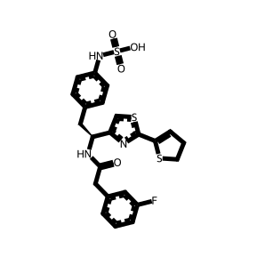 O=C(Cc1cccc(F)c1)N[C@@H](Cc1ccc(NS(=O)(=O)O)cc1)c1csc(C2=CCCS2)n1